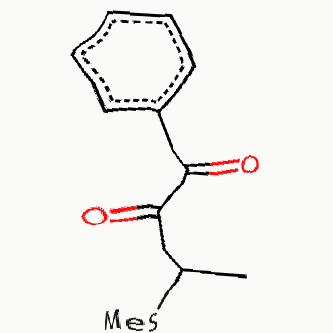 CSC(C)C(=O)C(=O)c1ccccc1